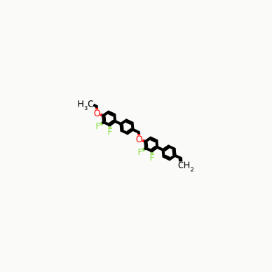 C=Cc1ccc(-c2ccc(OCc3ccc(-c4ccc(OCC)c(F)c4F)cc3)c(F)c2F)cc1